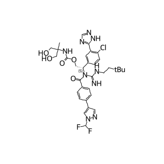 CC(C)(C)CCNC(=N)N(C(=O)c1ccc(-c2cnn(C(F)F)c2)cc1)[C@H](COC(=O)NC(C)(CO)CO)c1ccc(Cl)c(-c2ncn[nH]2)c1